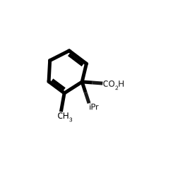 CC1=CCC=CC1(C(=O)O)C(C)C